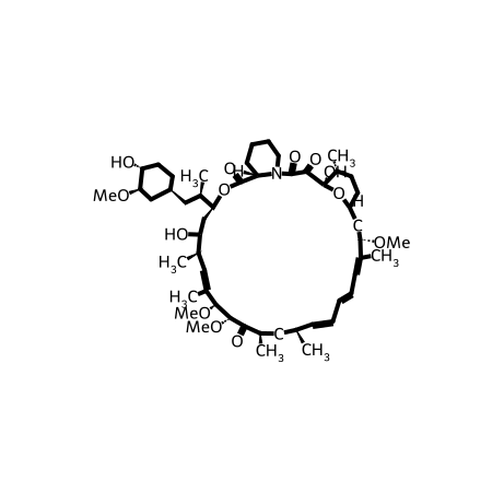 CO[C@H]1C[C@@H]2CC[C@@H](C)[C@@](O)(O2)C(=O)C(=O)N2CCCC[C@H]2C(=O)O[C@H]([C@H](C)C[C@@H]2CC[C@@H](O)[C@H](OC)C2)CC(O)[C@H](C)/C=C(\C)[C@@H](OC)[C@@H](OC)C(=O)[C@H](C)C[C@H](C)/C=C/C=C/C=C/1C